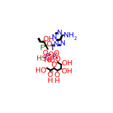 C=C[C@H](O)C(F)(COP(=O)(S)OP(=O)(O)OC1OC([C@@H](O)CO)C(O)C(O)C1O)O[C@H](C)n1cnc2c(N)ncnc21